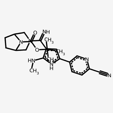 CNc1[nH]c(-c2ccc(C#N)nc2)cc1C(=N)N1CC2CCC(C1)N2C(=O)OC(C)(C)C